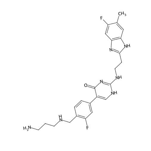 Cc1cc2[nH]c(CCNc3nc(=O)c(-c4ccc(CNCCCN)c(F)c4)c[nH]3)nc2cc1F